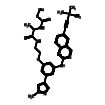 CC(NC(=O)OC(C)(C)C)C(=O)NCCOc1cc(Nc2ncc3cc(C#C[Si](C)(C)C)ccc3n2)cc(-c2cnn(C)c2)c1